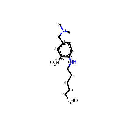 CN(C)Cc1ccc(NCCCCCC=O)c([N+](=O)[O-])c1